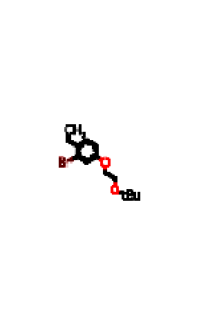 C=Cc1ccc(OCCOC(C)(C)C)cc1Br